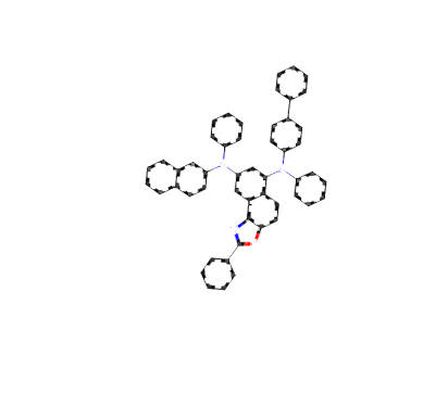 c1ccc(-c2ccc(N(c3ccccc3)c3cc(N(c4ccccc4)c4ccc5ccccc5c4)cc4c3ccc3oc(-c5ccccc5)nc34)cc2)cc1